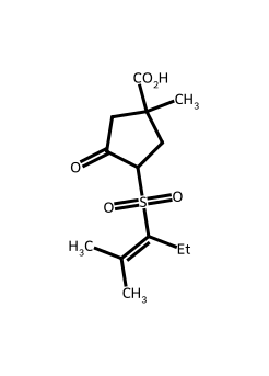 CCC(=C(C)C)S(=O)(=O)C1CC(C)(C(=O)O)CC1=O